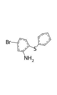 Nc1cc(Br)ccc1Sc1ccccc1